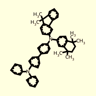 CC1(C)CCC(C)(C)c2cc(N(c3ccc(-c4ccc(N(c5ccccc5)c5ccccc5)cc4)cc3)c3ccc4c(c3)-c3ccccc3C4(C)C)ccc21